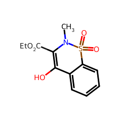 CCOC(=O)C1=C(O)c2ccccc2S(=O)(=O)N1C